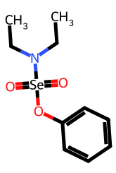 CCN(CC)[Se](=O)(=O)Oc1ccccc1